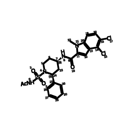 CC(=O)NS(=O)(=O)N1CC[C@H](NC(=O)c2cc3c(Cl)c(Cl)ccc3n2C)C[C@H]1c1ccccc1